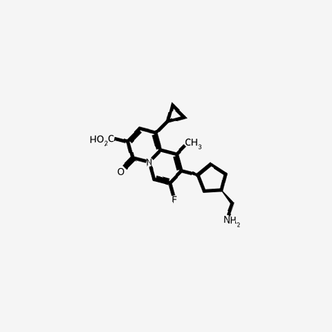 Cc1c(C2CC[C@@H](CN)C2)c(F)cn2c(=O)c(C(=O)O)cc(C3CC3)c12